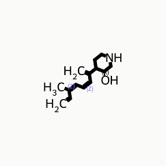 C=C/C(C)=C\C=C/C(=C)C1CCNC[C@@H]1O